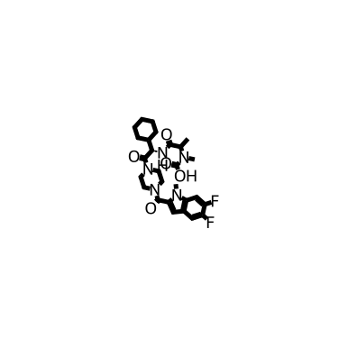 CC(C(=O)N[C@H](C(=O)N1CCN(C(=O)c2cc3cc(F)c(F)cc3n2C)CC1)C1CCCCC1)N(C)C(=O)O